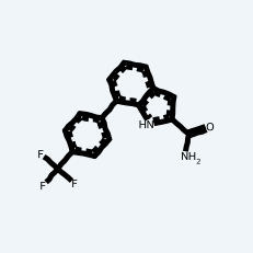 NC(=O)c1cc2cccc(-c3ccc(C(F)(F)F)cc3)c2[nH]1